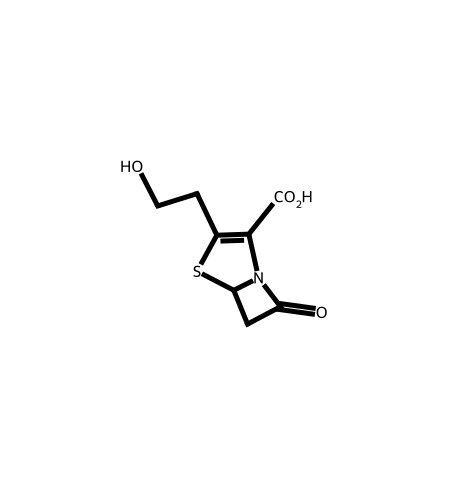 O=C(O)C1=C(CCO)SC2CC(=O)N12